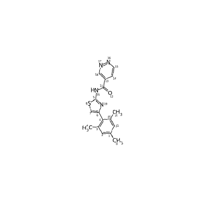 Cc1cc(C)c(-c2csc(NC(=O)c3ccnnc3)n2)c(C)c1